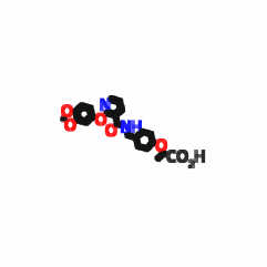 CC(OC1CCC(CNC(=O)c2cccnc2Oc2ccc3c(c2)OCO3)CC1)C(=O)O